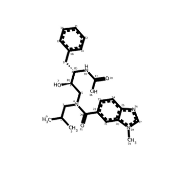 CC(C)CN(C[C@@H](O)[C@H](Cc1ccccc1)NC(=O)O)C(=O)c1ccc2ncn(C)c2c1